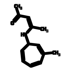 CC(=O)/C=C(/C)NC1C=CC=CC(C)=C1